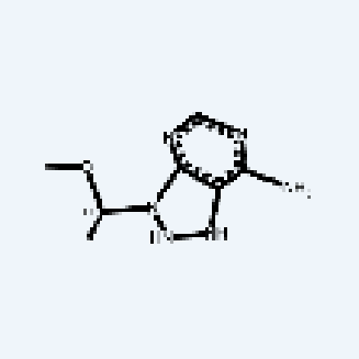 CO[C@H](C)N1NNc2c(N)ncnc21